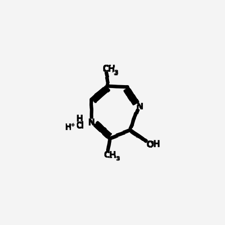 CC1=CN=C(C)C(O)N=C1.Cl.[H+]